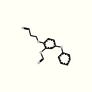 O=CCCOc1ccc(Oc2ccccc2)cc1OC=O